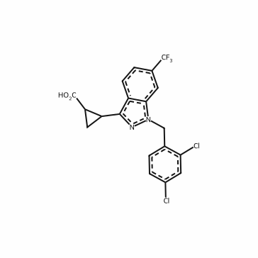 O=C(O)C1CC1c1nn(Cc2ccc(Cl)cc2Cl)c2cc(C(F)(F)F)ccc12